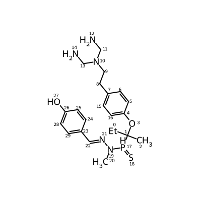 CCC(C)(Oc1ccc(CCN(CN)CN)cc1)[PH](=S)N(C)/N=C/c1ccc(O)cc1